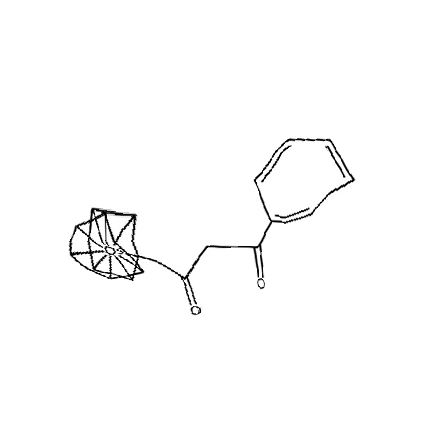 O=C(CC(=O)[C]12[CH]3[CH]4[CH]5[CH]1[Os]45321678[CH]2[CH]1[CH]6[CH]7[CH]28)c1ccccc1